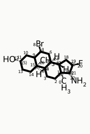 C[C@]12CC[C@H]3[C@@H](C[C@H](Br)C4C[C@@H](O)CC[C@@]43C)[C@@H]1C[C@@H](F)[C@@H]2N